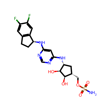 NS(=O)(=O)OC[C@H]1C[C@@H](Nc2cc(N[C@H]3CCc4cc(F)c(F)cc43)ncn2)[C@H](O)[C@@H]1O